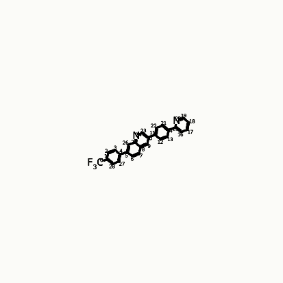 FC(F)(F)c1ccc(-c2ccc3cc(-c4ccc(-c5ccccn5)cc4)cnc3c2)cc1